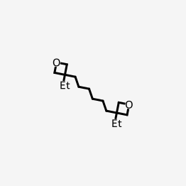 CCC1(CCCCCCC2(CC)COC2)COC1